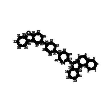 c1ccc2c(c1)ccc1c2c2ccccc2n1-c1ccc(-c2ccc(-c3ccc4oc5ccccc5c4c3)cc2)cn1